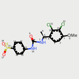 COc1ccc([C@H](C)NC(=O)Nc2ccc([SH](=O)=O)cc2)c(Cl)c1Cl